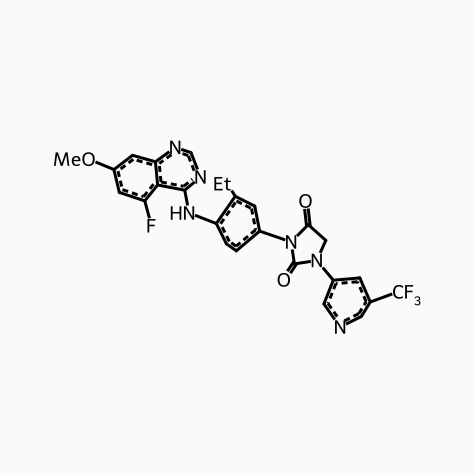 CCc1cc(N2C(=O)CN(c3cncc(C(F)(F)F)c3)C2=O)ccc1Nc1ncnc2cc(OC)cc(F)c12